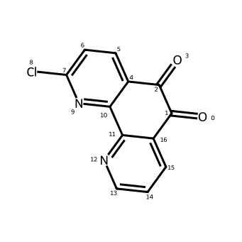 O=C1C(=O)c2ccc(Cl)nc2-c2ncccc21